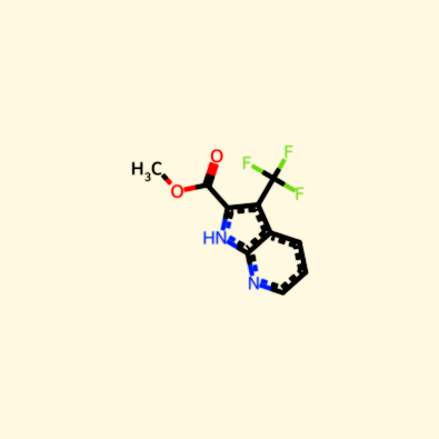 COC(=O)c1[nH]c2ncccc2c1C(F)(F)F